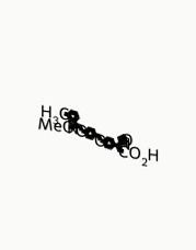 CON=C(COc1ccc(COc2ccc(C(CC(=O)O)c3ccon3)cc2)cc1)c1cccc(C)c1